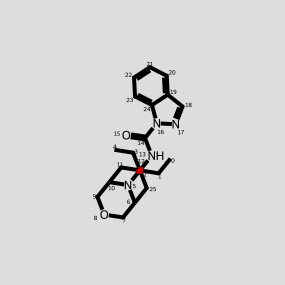 CCC(CC)N1C2COCC1CC(NC(=O)n1ncc3ccccc31)C2